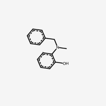 CN(Cc1ccccc1)c1[c]cccc1O